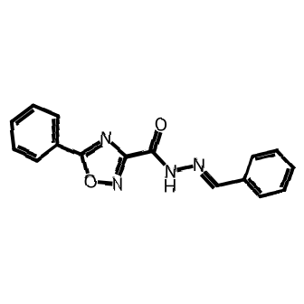 O=C(NN=Cc1ccccc1)c1noc(-c2ccccc2)n1